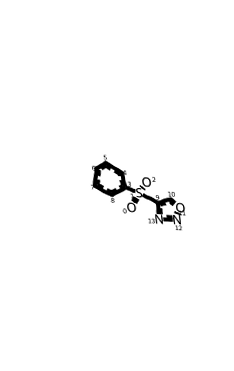 O=S(=O)(c1ccccc1)c1conn1